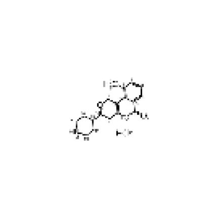 Cc1cccc2c(=O)oc3c(c12)COC(C1CCNCC1)C3.Cl